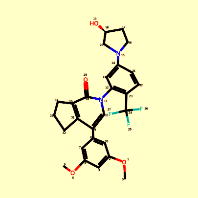 COc1cc(OC)cc(-c2cn(-c3cc(N4CC[C@H](O)C4)ccc3C(F)(F)F)c(=O)c3c2CCC3)c1